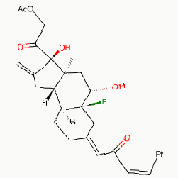 C=C1C[C@H]2[C@@H]3CC/C(=C/C(=O)/C=C\CC)C[C@@]3(F)[C@@H](O)C[C@]2(C)[C@@]1(O)C(=O)COC(C)=O